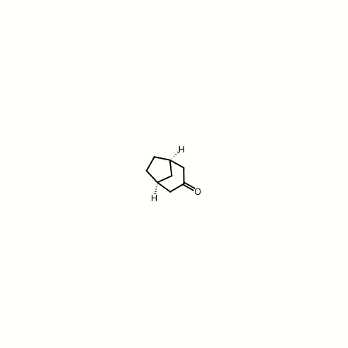 O=C1C[C@H]2CC[C@@H](C1)C2